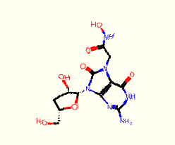 Nc1nc2c(c(=O)[nH]1)n(CC(=O)NO)c(=O)n2[C@@H]1O[C@H](CO)C[C@H]1O